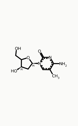 Cc1cn([C@H]2C[C@@H](O)C(CO)O2)c(=O)nc1N